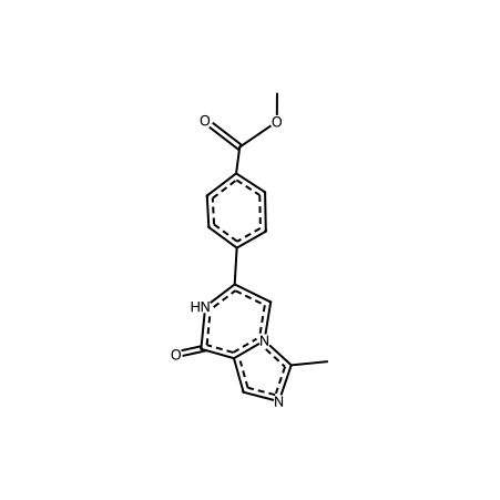 COC(=O)c1ccc(-c2cn3c(C)ncc3c(=O)[nH]2)cc1